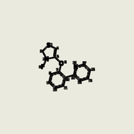 FN1CSC=C1Oc1ccccc1-c1ccccn1